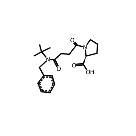 CC(C)(C)N(Cc1ccccc1)C(=O)CCC(=O)N1CCC[C@H]1C(=O)O